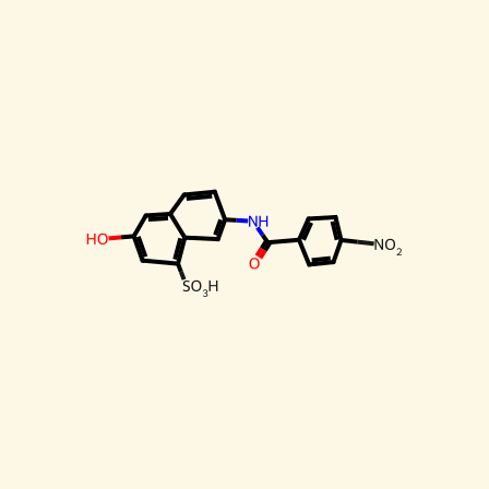 O=C(Nc1ccc2cc(O)cc(S(=O)(=O)O)c2c1)c1ccc([N+](=O)[O-])cc1